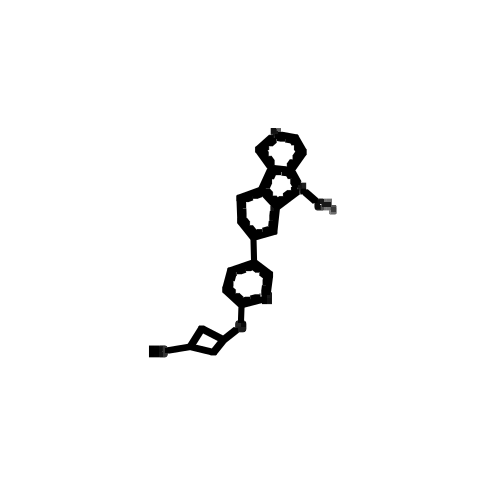 Cn1c2ccncc2c2ccc(-c3ccc(OC4CC(O)C4)nc3)cc21